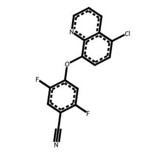 N#Cc1cc(F)c(Oc2ccc(Cl)c3cccnc23)cc1F